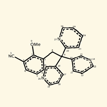 COc1c(C#N)cccc1CC(c1cccnc1)(c1cccnc1)c1ccccn1